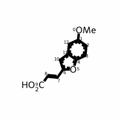 COc1ccc2oc(C=CC(=O)O)cc2c1